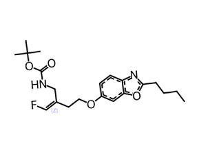 CCCCc1nc2ccc(OCC/C(=C/F)CNC(=O)OC(C)(C)C)cc2o1